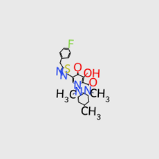 CC1CCC2(CC1)N(C)C(=O)c1c(O)c(=O)c(-c3nnc(Cc4ccc(F)cc4)s3)cn1N2C